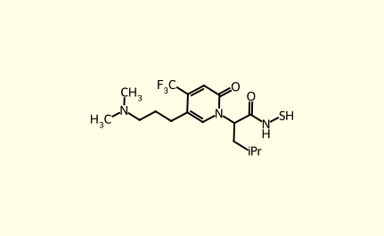 CC(C)CC(C(=O)NS)n1cc(CCCN(C)C)c(C(F)(F)F)cc1=O